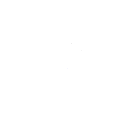 CN(C)CC(=O)NC(C)(C)I